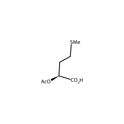 CSCC[C@H](OC(C)=O)C(=O)O